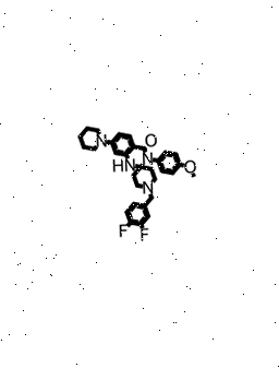 COc1ccc(N2C(=O)c3ccc(N4CCCCC4)cc3NC23CCN(Cc2ccc(F)c(F)c2)CC3)cc1